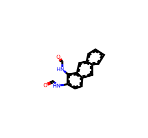 O=CNc1ccc2cc3ccccc3cc2c1NC=O